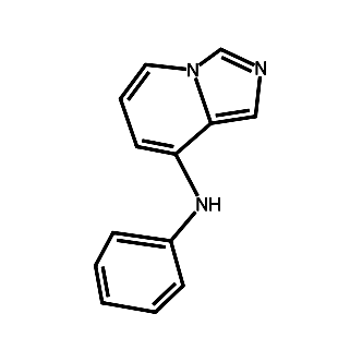 c1ccc(Nc2cccn3cncc23)cc1